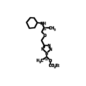 CCOC(=O)O[C@@H](C)n1nnc(COC[C@H](C)NC2CCCCC2)n1